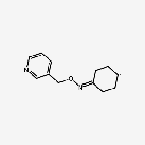 [CH]1CCC(=NOCc2cccnc2)CC1